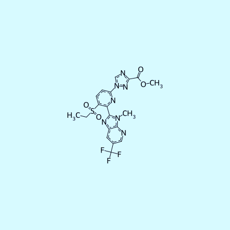 CCS(=O)(=O)c1ccc(-n2cnc(C(=O)OC)n2)nc1-c1nc2cc(C(F)(F)F)cnc2n1C